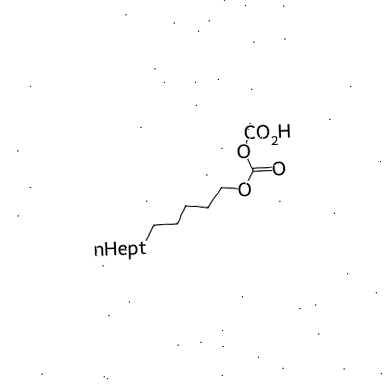 CCCCCCCCCCCCOC(=O)OC(=O)O